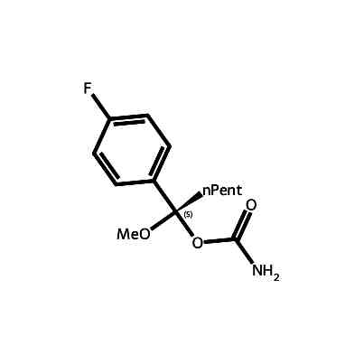 CCCCC[C@](OC)(OC(N)=O)c1ccc(F)cc1